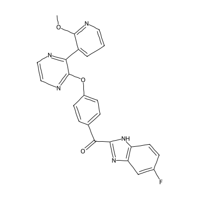 COc1ncccc1-c1nccnc1Oc1ccc(C(=O)c2nc3cc(F)ccc3[nH]2)cc1